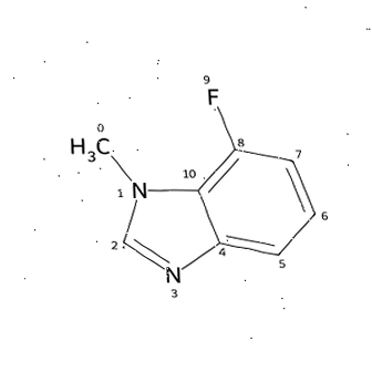 Cn1[c]nc2cccc(F)c21